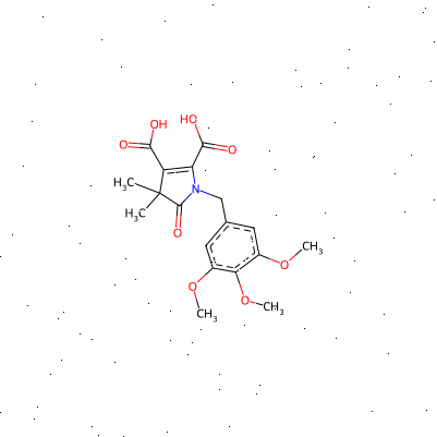 COc1cc(CN2C(=O)C(C)(C)C(C(=O)O)=C2C(=O)O)cc(OC)c1OC